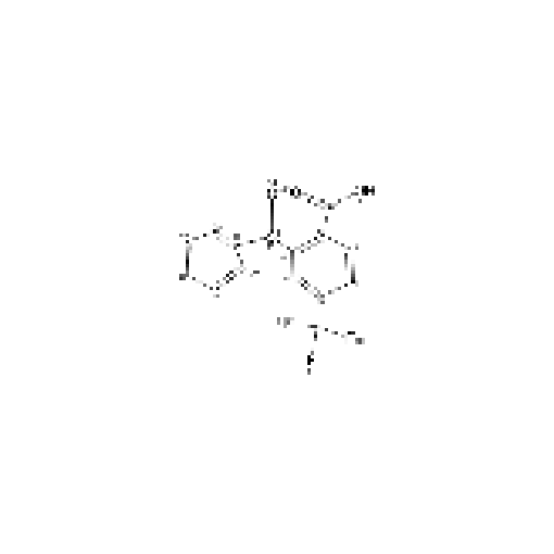 O=C(O)c1ccc(C(F)(F)F)cc1[S+]([O-])c1ccccc1